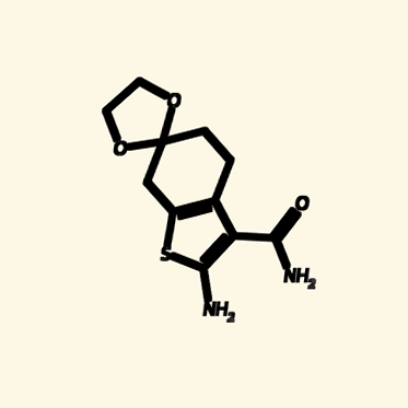 NC(=O)c1c(N)sc2c1CCC1(C2)OCCO1